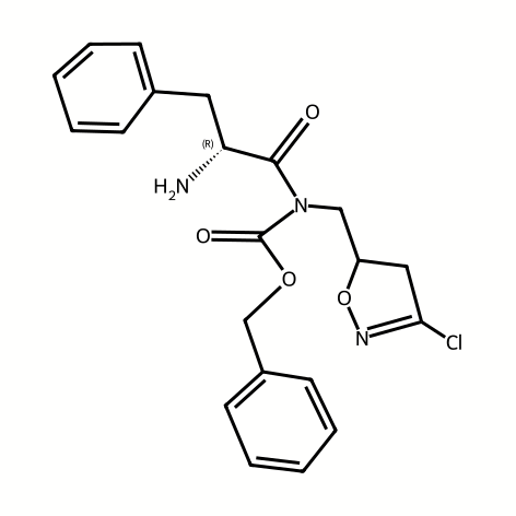 N[C@H](Cc1ccccc1)C(=O)N(CC1CC(Cl)=NO1)C(=O)OCc1ccccc1